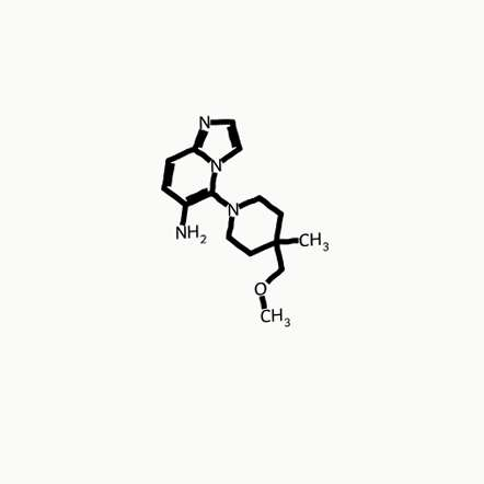 COCC1(C)CCN(c2c(N)ccc3nccn23)CC1